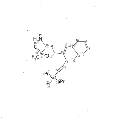 CC(C)[Si](C#Cc1cc2ccccc2cc1CCC(N)S(=O)(=O)C(F)(F)F)(C(C)C)C(C)C